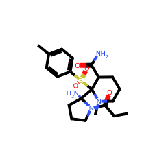 CCC(=O)N1CCCC1(N)C1(S(=O)(=O)c2ccc(C)cc2)C(C(N)=O)CCCN1C